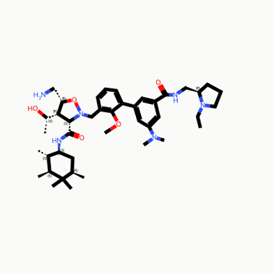 CCN1CCC[C@@H]1CNC(=O)c1cc(-c2cccc(CN3O[C@@H](CN)[C@@H]([C@H](C)O)[C@H]3C(=O)N[C@H]3C[C@@H](C)C(C)(C)[C@@H](C)[C@@H]3C)c2OC)cc(N(C)C)c1